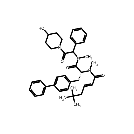 CN(C(=O)[C@@H](Cc1ccc(-c2ccccc2)cc1)N(C)C(=O)/C=C/CC(C)(C)N)C(C(=O)N1CCC(O)CC1)c1ccccc1